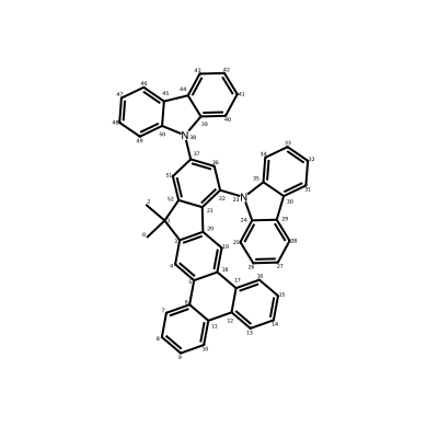 CC1(C)c2cc3c4ccccc4c4ccccc4c3cc2-c2c(-n3c4ccccc4c4ccccc43)cc(-n3c4ccccc4c4ccccc43)cc21